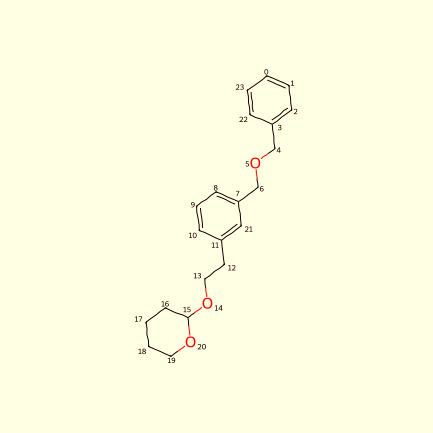 c1ccc(COCc2cccc(CCOC3CCCCO3)c2)cc1